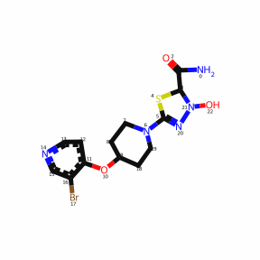 NC(=O)C1SC(N2CCC(Oc3ccncc3Br)CC2)=NN1O